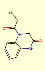 O=C1CN(C(=O)CCl)c2ccccc2N1